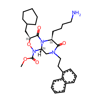 COC(=O)N1O[C@@H](CC2CCCCC2)C(=O)N2[C@@H]1CN(CCc1cccc3ccccc13)C(=O)[C@@H]2CCCCN